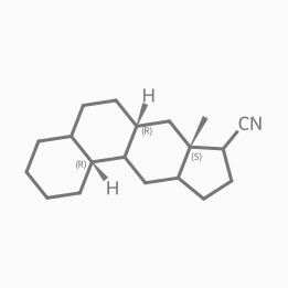 C[C@]12C[C@H]3CCC4CCCC[C@H]4C3CC1CCC2C#N